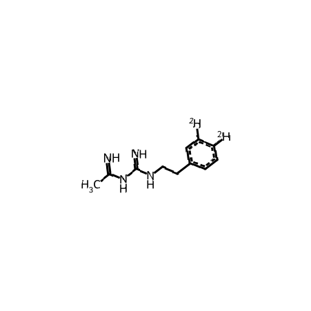 [2H]c1ccc(CCNC(=N)NC(C)=N)cc1[2H]